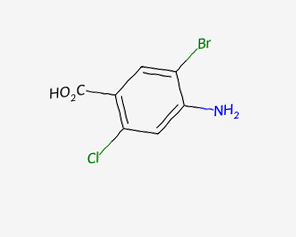 Nc1cc(Cl)c(C(=O)O)cc1Br